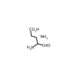 N.NC([C]=O)CCC(=O)O